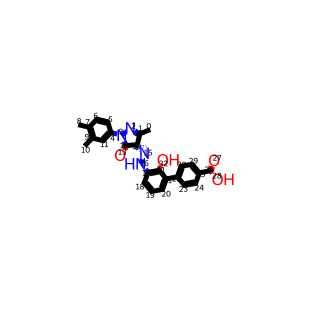 CC1=NN(c2ccc(C)c(C)c2)C(=O)/C1=N\Nc1cccc(-c2ccc(C(=O)O)cc2)c1O